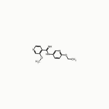 CCOc1ccc(NC(=N)c2ccncc2OC)cn1